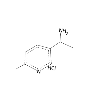 Cc1ccc(C(C)N)cn1.Cl